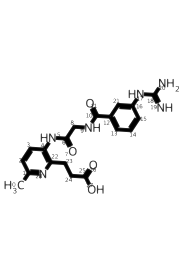 Cc1ccc(NC(=O)CNC(=O)c2cccc(NC(=N)N)c2)c(CCC(=O)O)n1